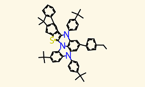 CCc1ccc(-c2cc3c4c(c2)N(c2ccc(C(C)(C)C)cc2)c2c(sc5cc6c(cc25)-c2ccccc2C6(C)C)N4c2cc(C(C)(C)C)ccc2N3c2ccc(C(C)(C)C)cc2)cc1